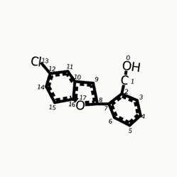 OCc1ccccc1-c1cc2cc(Cl)ccc2o1